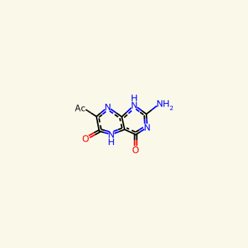 CC(=O)c1nc2[nH]c(N)nc(=O)c2[nH]c1=O